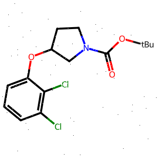 CC(C)(C)OC(=O)N1CCC(Oc2cccc(Cl)c2Cl)C1